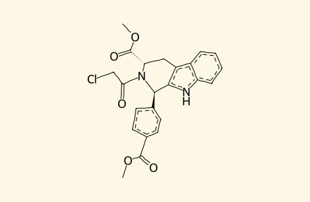 COC(=O)c1ccc([C@@H]2c3[nH]c4ccccc4c3C[C@@H](C(=O)OC)N2C(=O)CCl)cc1